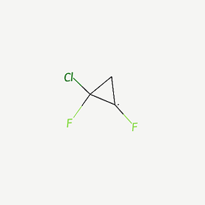 F[C]1CC1(F)Cl